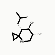 CC(F)C[C@@H]1[C@@H](O)[C@H](O)CNC12CC2